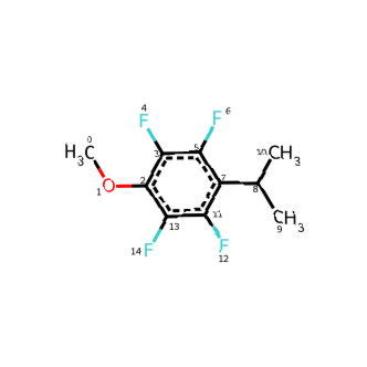 COc1c(F)c(F)c(C(C)C)c(F)c1F